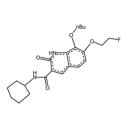 CCCCOc1c(OCCF)ccc2cc(C(=O)NC3CCCCC3)c(=O)[nH]c12